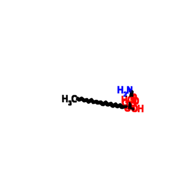 CCCCCCCCCC=CC=CC=CC=CC=CC=CC(=O)O[C@H](CO)COP(=O)(O)OCCN